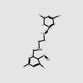 O=NC1C(I)=CC(I)=CC1CNCC/N=C/C1=CC(I)=CC(I)C1